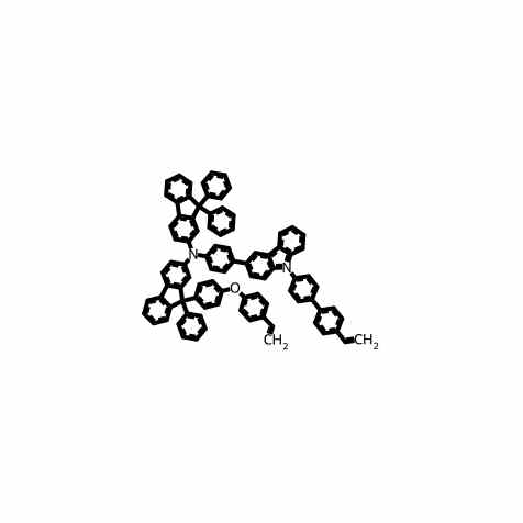 C=Cc1ccc(Oc2ccc(C3(c4ccccc4)c4ccccc4-c4ccc(N(c5ccc(-c6ccc7c(c6)c6ccccc6n7-c6ccc(-c7ccc(C=C)cc7)cc6)cc5)c5ccc6c(c5)C(c5ccccc5)(c5ccccc5)c5ccccc5-6)cc43)cc2)cc1